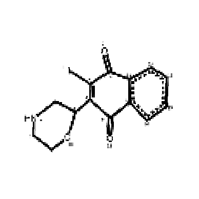 O=C1C(I)=C(C2CNCCO2)C(=O)c2ccccc21